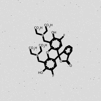 O=C(O)CN(CC(=O)O)Cc1c(O)c(F)cc2c1Oc1c(cc(F)c(O)c1CN(CC(=O)O)CC(=O)O)C21OC(=O)c2ccccc21